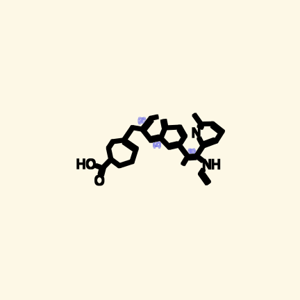 C=CN/C(=C(\C)c1ccc(=C)/c(=C\C(=C/C)CC2=CCCC(C(=O)O)CC2)c1)c1cccc(C)n1